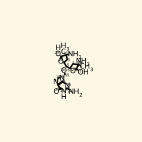 CC(N)(CCC(CCC(C)(N)C(=O)O)OCn1cnc2c(=O)[nH]c(N)nc21)C(=O)O